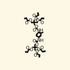 C=CC(=O)OCC(COC(=O)C=C)(COC(=O)C=C)COC(=O)Nc1ccc(NC(=O)OCC(COC(=O)C=C)(COC(=O)C=C)COC(=O)C=C)c(C)c1